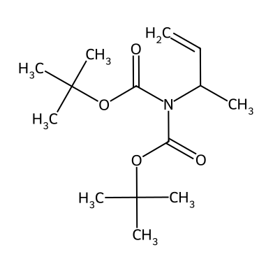 C=CC(C)N(C(=O)OC(C)(C)C)C(=O)OC(C)(C)C